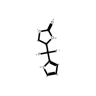 O=C1OCC(C(F)(F)c2cccs2)O1